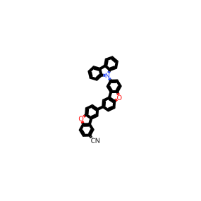 N#Cc1ccc2oc3ccc(-c4ccc5oc6ccc(-n7c8ccccc8c8ccccc87)cc6c5c4)cc3c2c1